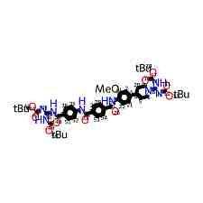 COc1cc(C2=CCN(/C(=N/C(=O)OC(C)(C)C)NC(=O)OC(C)(C)C)CC2)ccc1NC(=O)c1ccc(C(=O)Nc2ccc(CN/C(=N/C(=O)OC(C)(C)C)NC(=O)OC(C)(C)C)cc2)cc1